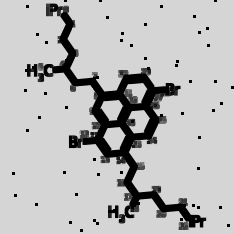 CC(C)CCCC(C)CCc1cc2c(Br)cc(CCC(C)CCCC(C)C)c3ccc4c(Br)ccc1c4c23